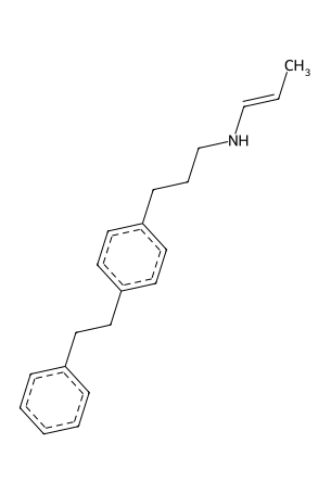 CC=CNCCCc1ccc(CCc2ccccc2)cc1